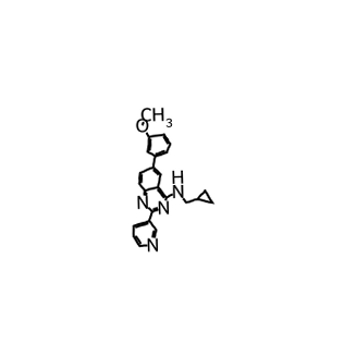 COc1cccc(-c2ccc3nc(-c4cccnc4)nc(NCC4CC4)c3c2)c1